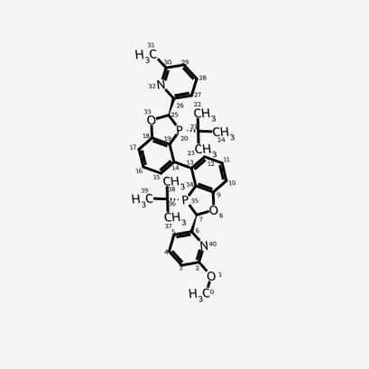 COc1cccc([C@@H]2Oc3cccc(-c4cccc5c4[P@@](C(C)(C)C)[C@H](c4cccc(C)n4)O5)c3[P@@]2C(C)(C)C)n1